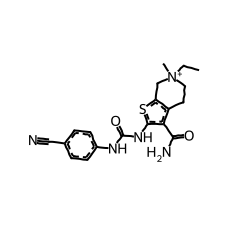 CC[N+]1(C)CCc2c(sc(NC(=O)Nc3ccc(C#N)cc3)c2C(N)=O)C1